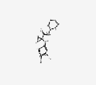 O=C(NC1CCCCC1)C1(Sc2ccc(F)c(Cl)c2)CC1